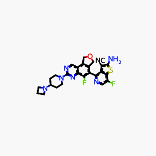 N#Cc1c(N)sc2c(F)cnc(-c3c4c(c5cnc(N6CCC(N7CCC7)CC6)nc5c3F)COC4)c12